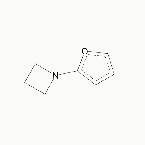 c1coc(N2CCC2)c1